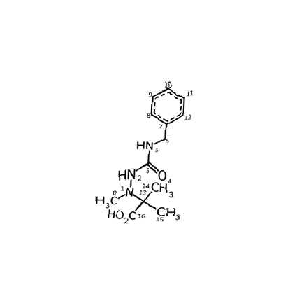 CN(NC(=O)NCc1ccccc1)C(C)(C)C(=O)O